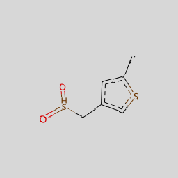 [CH2]c1cc(C[SH](=O)=O)cs1